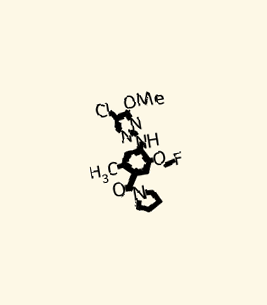 COc1nc(Nc2cc(C)c(C(=O)N3CCCC3)cc2OCF)ncc1Cl